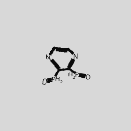 O=[PH2]c1nccnc1[PH2]=O